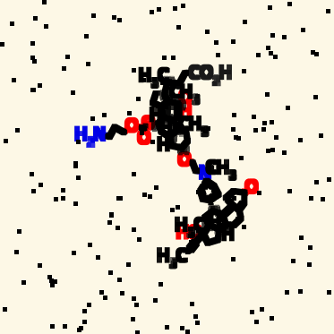 CC#C[C@@]1(O)CC[C@H]2[C@@H]3CCC4=CC(=O)CCC4=C3[C@@H](c3ccc(N(C)CCO[C@H]4CC[C@@]5(C)[C@@H](C4)C[C@@H](OC(=O)OCCCN)[C@@H]4[C@@H]5C[C@H](O)[C@]5(C)[C@@H]([C@H](C)CCC(=O)O)CC[C@@H]45)cc3)C[C@@]21C